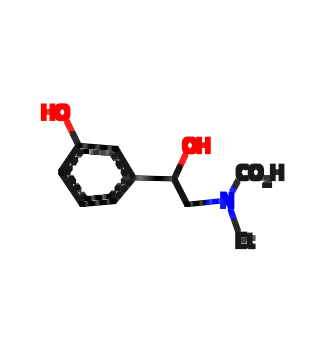 CCN(CC(O)c1cccc(O)c1)C(=O)O